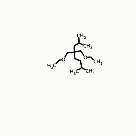 CCOCC(CCC(C)C)(COCC)CC(C)C